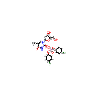 Cc1cn([C@H]2C[C@H](O)[C@@H](CO)O2)c(=O)[nH]c1=O.O=P(O)(Oc1ccc(Cl)cc1)Oc1ccc(Cl)cc1